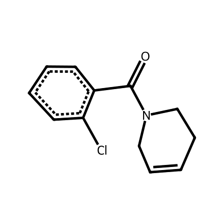 O=C(c1ccccc1Cl)N1CC=CCC1